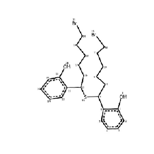 Oc1ccccc1C(CCCCCBr)SC(CCCCCBr)c1ccccc1O